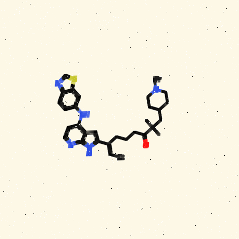 CC/C=C(\CCCC(=O)C(C)(C)CC1CCN(C(C)C)CC1)c1cc2c(Nc3ccc4ncsc4c3)ccnc2[nH]1